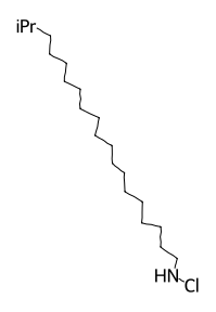 CC(C)CCCCCCCCCCCCCCCCCNCl